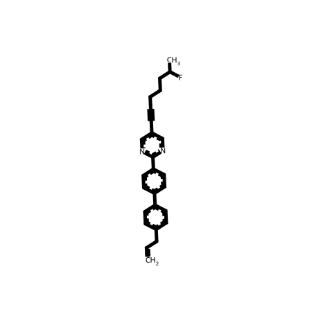 C=CCc1ccc(-c2ccc(-c3ncc(C#CCCCC(C)F)cn3)cc2)cc1